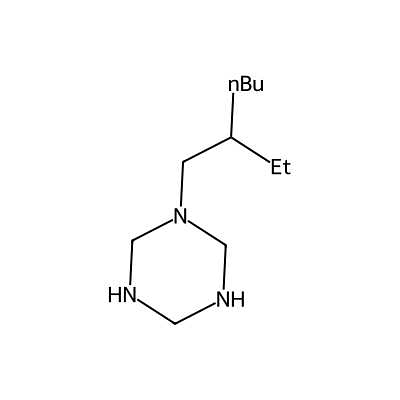 CCCCC(CC)CN1CNCNC1